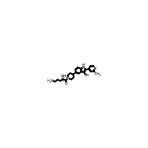 Cc1cc(-c2[nH]c3ccc(C4CCN(C(=O)[C@@H](N)CCCN)CC4)cc3c2C(C)C)ccn1